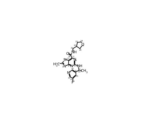 Cc1nc2nc(N[C@@H](C)c3cncc(F)c3)nc(C(=O)NCC3CCOC3)c2s1